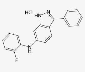 Cl.Fc1ccccc1Nc1ccc2c(-c3ccccc3)n[nH]c2c1